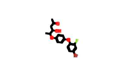 CC(=O)CC(O)C(C)Oc1ccc(Oc2ccc(Br)cc2F)cc1